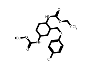 CC(C)(C)OC(=O)NC1CCC(NC(=O)OCC(Cl)(Cl)Cl)C(CSc2ccc(Cl)cc2)C1